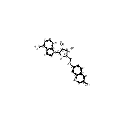 CCc1cnc2cc(OC[C@H]3O[C@@H](n4ccc5c(N)ncnc54)[C@H](O)[C@@H]3I)ccc2c1